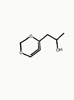 CC(O)CC1=C=COCO1